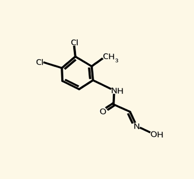 Cc1c(NC(=O)C=NO)ccc(Cl)c1Cl